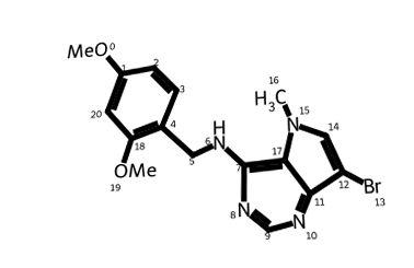 COc1ccc(CNc2ncnc3c(Br)cn(C)c23)c(OC)c1